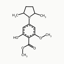 COC(=O)c1c(O)cc(N2C(C)CCC2C)cc1OC